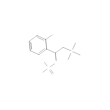 CCCc1ccccc1C(C[N+](C)(C)C)OP([O-])(=S)S